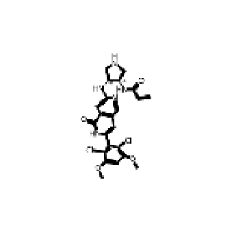 C=CC(=O)N[C@H]1CNC[C@H]1Nc1cc2c(=O)[nH]c(-c3c(Cl)c(OC)cc(OC)c3Cl)cc2cn1